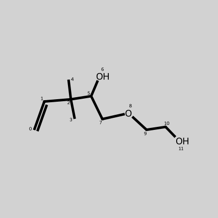 C=CC(C)(C)C(O)COCCO